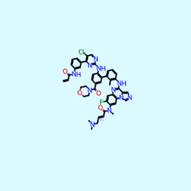 C=CC(=O)Nc1cccc(-c2nc(Nc3ccc(C(=O)N4CCOCC4)cc3-c3cccc(Nc4nc5cc(F)c(N(C)C(=O)/C=C/CN(C)C)cc5n5cncc45)c3C)ncc2Cl)c1